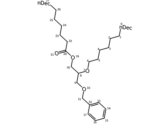 CCCCCCCCCCCCCCCCOC(COCc1ccccc1)COC(=O)CCCCCCCCCCCCCCC